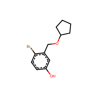 Oc1ccc(Br)c(COC2CCCC2)c1